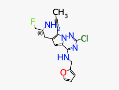 CC#Cc1c(C[C@@H](N)CF)cc2c(NCc3ccco3)nc(Cl)nn12